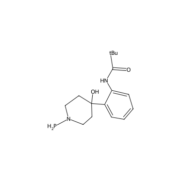 CC(C)(C)C(=O)Nc1ccccc1C1(O)CCN(P)CC1